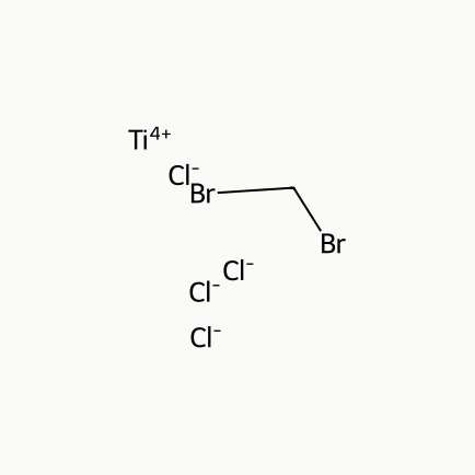 BrCBr.[Cl-].[Cl-].[Cl-].[Cl-].[Ti+4]